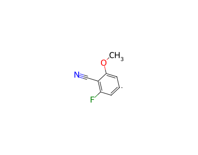 COc1c[c]cc(F)c1C#N